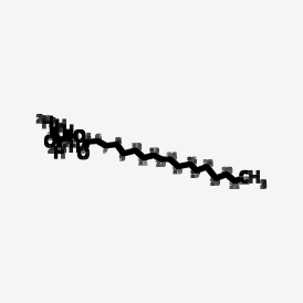 [2H]C([2H])(OC(=O)CCCCCCCCCCCCCCCCC)C1([2H])OC1([2H])[2H]